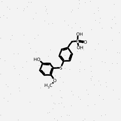 COc1ccc(O)cc1Sc1ccc(CP(=O)(O)O)cc1